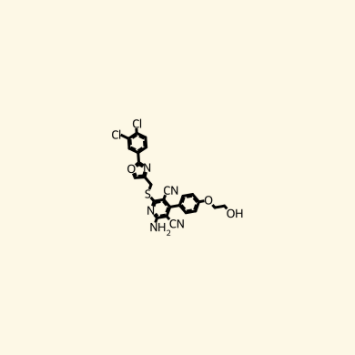 N#Cc1c(N)nc(SCc2coc(-c3ccc(Cl)c(Cl)c3)n2)c(C#N)c1-c1ccc(OCCO)cc1